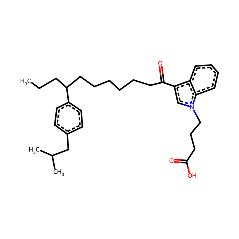 CCCC(CCCCCCC(=O)c1cn(CCCC(=O)O)c2ccccc12)c1ccc(CC(C)C)cc1